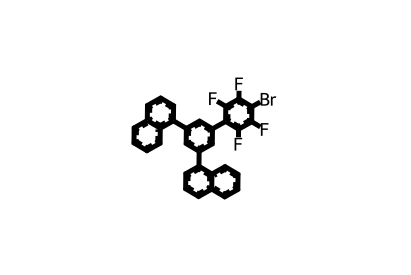 Fc1c(F)c(-c2cc(-c3cccc4ccccc34)cc(-c3cccc4ccccc34)c2)c(F)c(F)c1Br